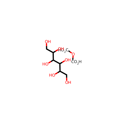 O=C(O)OC(=O)O.OCC(O)C(O)C(O)C(O)CO